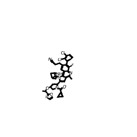 Cc1nc2c(F)c(-c3cccc(Cl)c3Cl)c(CCC#N)cc2c2c1cc(C1CC(OC(C)c3ncco3)CN1C(=O)C1CC1)n2C1C2CNC1C2